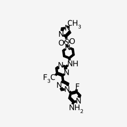 Cn1cnc(S(=O)(=O)N2CCC(Nc3ncc(C(F)(F)F)c(-c4cn(-c5cc(N)ncc5F)cn4)n3)CC2)c1